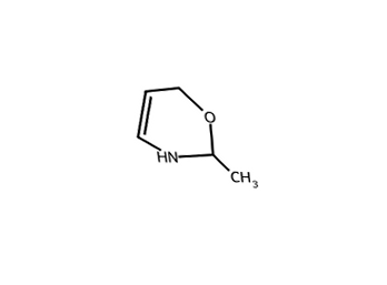 CC1NC=CCO1